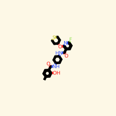 Cc1ccc(C(=O)NC2CCC(NC(=O)c3ccc(F)nc3OC3CCSCC3)CC2)c(O)c1